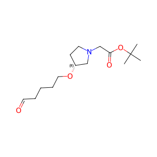 CC(C)(C)OC(=O)CN1CC[C@@H](OCCCCC=O)C1